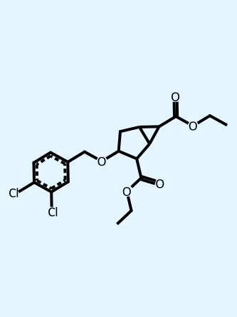 CCOC(=O)C1C(OCc2ccc(Cl)c(Cl)c2)CC2C(C(=O)OCC)C21